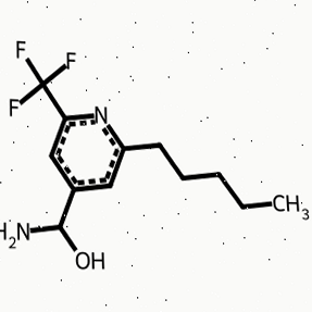 CCCCCc1cc(C(N)O)cc(C(F)(F)F)n1